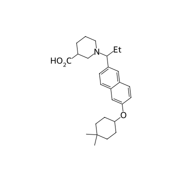 CCC(c1ccc2cc(OC3CCC(C)(C)CC3)ccc2c1)N1CCCC(C(=O)O)C1